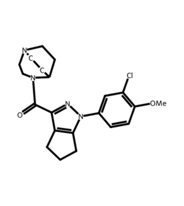 COc1ccc(-n2nc(C(=O)N3CCN4CCC3CC4)c3c2CCC3)cc1Cl